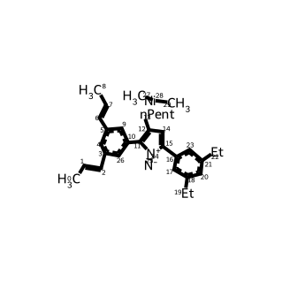 CC=Cc1cc(C=CC)cc(C2=C(CCCCC)C=C(c3cc(CC)cc(CC)c3)[N+]2=[N-])c1.[CH3][Ni][CH3]